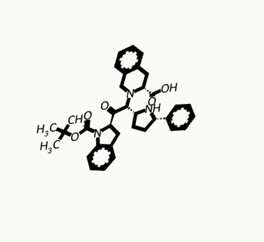 CC(C)(C)OC(=O)N1c2ccccc2C[C@@H]1C(=O)C([C@H]1CC[C@@H](c2ccccc2)N1)N1Cc2ccccc2C[C@@H]1C(=O)O